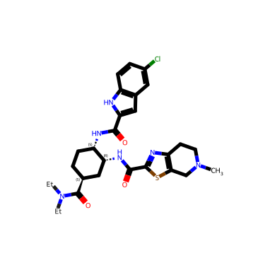 CCN(CC)C(=O)[C@H]1CC[C@H](NC(=O)c2cc3cc(Cl)ccc3[nH]2)[C@H](NC(=O)c2nc3c(s2)CN(C)CC3)C1